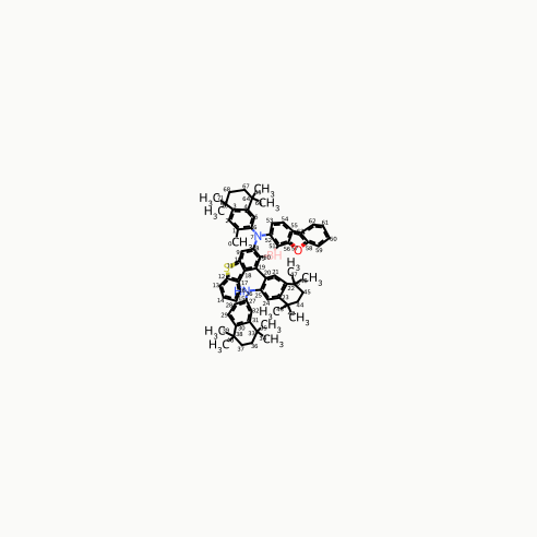 Cc1cc2c(cc1N1c3cc4sc5ccccc5c4c(-c4cc5c(cc4Nc4ccc6c(c4)C(C)(C)CCC6(C)C)C(C)(C)CCC5(C)C)c3Bc3c1ccc1c3oc3ccccc31)C(C)(C)CCC2(C)C